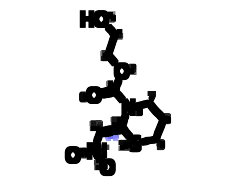 O=C(OCCO)N1CCCS/C1=C\[N+](=O)[O-]